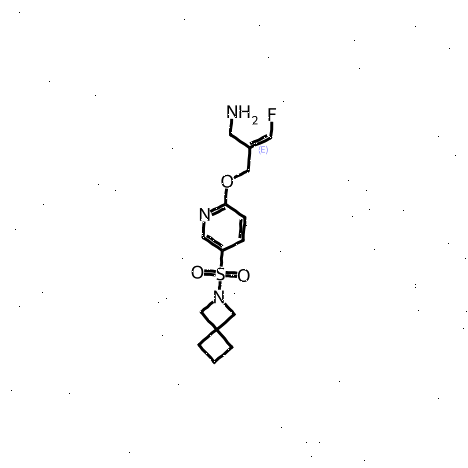 NC/C(=C\F)COc1ccc(S(=O)(=O)N2CC3(CCC3)C2)cn1